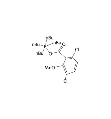 CCCCP(CCCC)(CCCC)(CCCC)OC(=O)c1c(Cl)ccc(Cl)c1OC